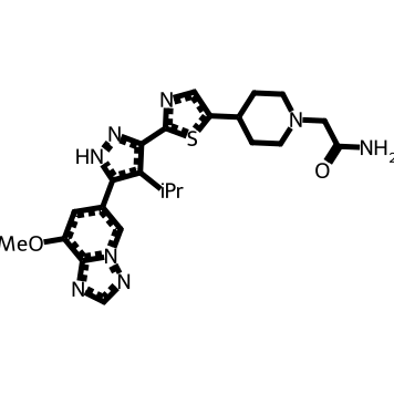 COc1cc(-c2[nH]nc(-c3ncc(C4CCN(CC(N)=O)CC4)s3)c2C(C)C)cn2ncnc12